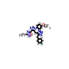 CCCc1noc(-c2ncn3c2Cc2c(Cc4ccc(F)cc4)nnn2-c2cc(OC(F)(F)F)ccc2-3)n1